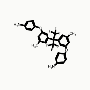 Cc1cc(Oc2ccc(N)cc2)cc(C(c2cc(C)cc(Oc3ccc(N)cc3)c2)(C(F)(F)F)C(F)(F)F)c1